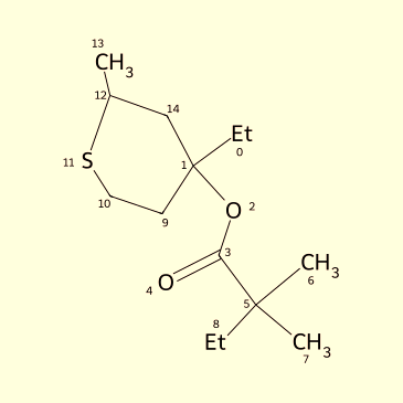 CCC1(OC(=O)C(C)(C)CC)CCSC(C)C1